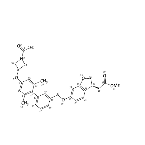 CCC(=O)N1CC(Oc2cc(C)c(-c3cccc(COc4ccc5c(c4)OC[C@H]5CC(=O)OC)c3)c(C)c2)C1